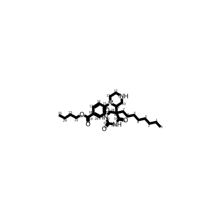 CCCCCCCCC1(C2CNCCN2c2ccc(C(=O)OCCCC)cc2)C(=O)NC(=O)NC1=O